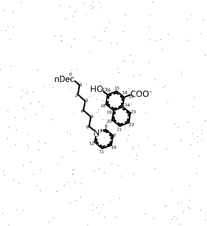 CCCCCCCCCCCCCCCC[n+]1ccccc1.O=C([O-])c1cc(O)cc2ccccc12